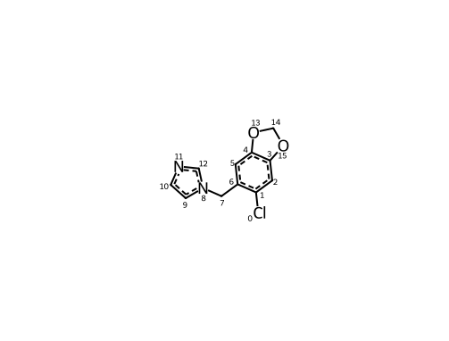 Clc1cc2c(cc1Cn1ccnc1)OCO2